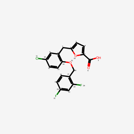 O=C(O)c1ccc(Cc2cc(Cl)ccc2OCc2ccc(F)cc2F)o1